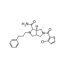 NC(=O)C1[C@@H]2CN(C(=O)c3sccc3Cl)CC2CN1CC[CH]c1ccccc1